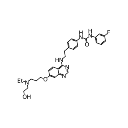 CCN(CCO)CCCOc1ccc2c(NCCc3ccc(NC(=O)Nc4cccc(F)c4)cc3)ncnc2c1